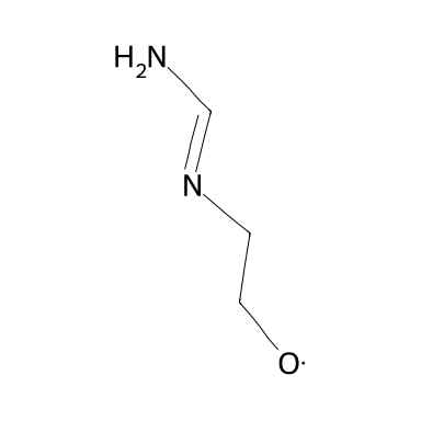 NC=NCC[O]